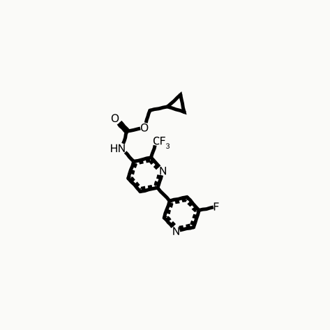 O=C(Nc1ccc(-c2cncc(F)c2)nc1C(F)(F)F)OCC1CC1